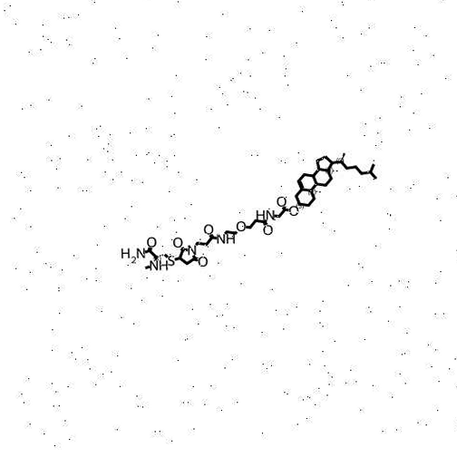 CN[C@@H](CSC1CC(=O)N(CCC(=O)NCCOCCC(=O)NCC(=O)O[C@H]2CC[C@@]3(C)C(=CCC4C5CCC([C@@H](C)CCCC(C)C)[C@@]5(C)CCC43)C2)C1=O)C(N)=O